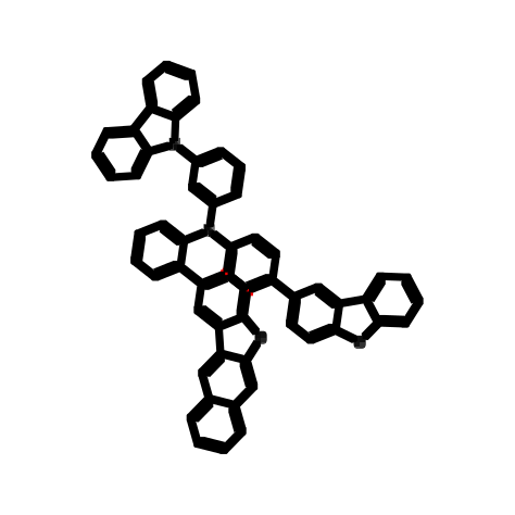 c1cc(N(c2ccc(-c3ccc4oc5ccccc5c4c3)cc2)c2ccccc2-c2ccc3oc4cc5ccccc5cc4c3c2)cc(-n2c3ccccc3c3ccccc32)c1